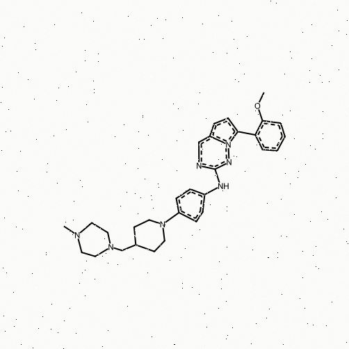 COc1ccccc1-c1ccc2cnc(Nc3ccc(N4CCC(CN5CCN(C)CC5)CC4)cc3)nn12